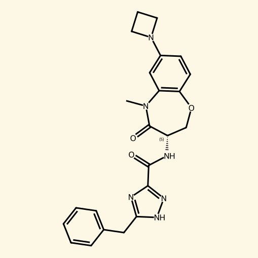 CN1C(=O)[C@@H](NC(=O)c2n[nH]c(Cc3ccccc3)n2)COc2ccc(N3CCC3)cc21